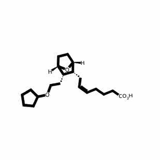 O=C(O)CCC/C=C\C[C@@H]1[C@H](CCOC2CCCC2)[C@@H]2CC[C@H]1O2